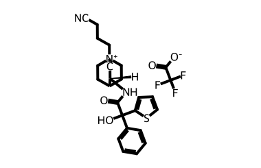 N#CCCC[N+]12CCC(CC1)[C@@H](NC(=O)C(O)(c1ccccc1)c1cccs1)C2.O=C([O-])C(F)(F)F